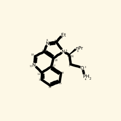 CCC[C@@H](COP)n1c(CC)nc2cnc3ccccc3c21